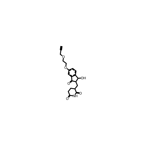 C#CCOCCOc1ccc2c(c1)C(=O)C(CC1CCC(=O)NC1=O)C2O